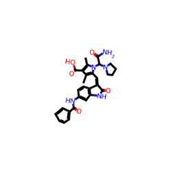 Cc1c(C(=O)O)c(C)n(C(C(N)=O)N2CCCC2)c1C=C1C(=O)Nc2cc(NC(=O)c3ccccc3)ccc21